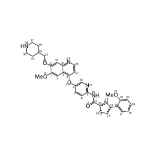 COc1cc2c(Oc3ccc(NC(=O)c4nc(-c5ccccc5OC)cs4)nc3)ccnc2cc1OCC1CCNCC1